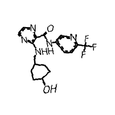 O=C(Nc1ccc(C(F)(F)F)nc1)c1nccnc1NCC1CCC(O)CC1